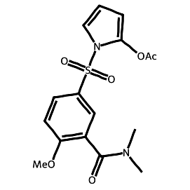 COc1ccc(S(=O)(=O)n2cccc2OC(C)=O)cc1C(=O)N(C)C